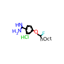 CCCCCCCCC(F)COc1ccc(C(=N)N)cc1.Cl